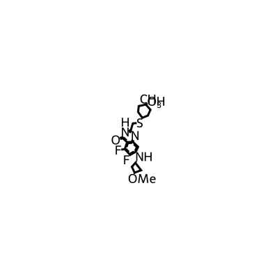 CO[C@H]1C[C@@H](Nc2cc3nc(CS[C@H]4CC[C@@](C)(O)CC4)[nH]c(=O)c3c(F)c2F)C1